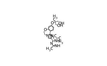 CC(=N)/N=C(\NC(C)C)c1cn2c(n1)-c1ccc(OC(C)(CO)CO)cc1OCC2